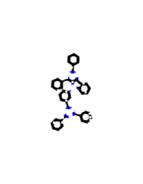 c1ccc(-c2nc(-c3ccccc3)nc(-c3cccc(-n4c5ccccc5c5nc(-c6ccccc6)nc(-c6ccccc6)c54)c3)n2)cc1